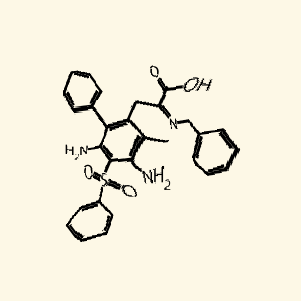 Cc1c(N)c(S(=O)(=O)c2ccccc2)c(N)c(-c2ccccc2)c1CC(=NCc1ccccc1)C(=O)O